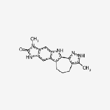 Cc1[nH]nc2c1CCCc1c-2[nH]c2cc3c(cc12)[nH]c(=O)n3C